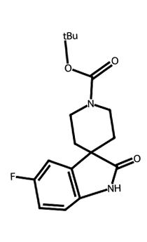 CC(C)(C)OC(=O)N1CCC2(CC1)C(=O)Nc1ccc(F)cc12